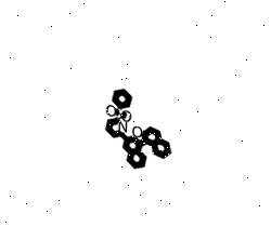 O=S(=O)(c1ccccc1)c1cccc(-c2cc3ccccc3c3c2oc2ccc4ccccc4c23)n1